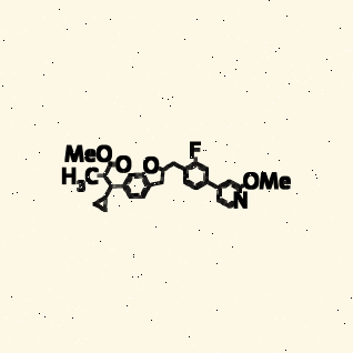 COC(=O)C(C)C(c1ccc2c(c1)OC(Cc1ccc(-c3ccnc(OC)c3)cc1F)C2)C1CC1